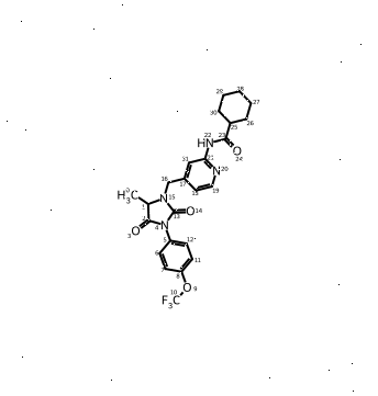 CC1C(=O)N(c2ccc(OC(F)(F)F)cc2)C(=O)N1Cc1ccnc(NC(=O)C2CCCCC2)c1